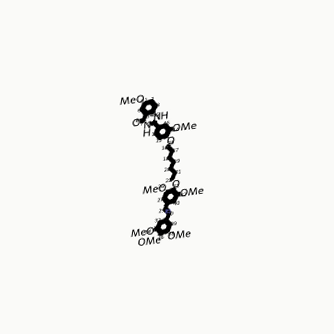 COc1ccc2c(c1)C(=O)NC(c1ccc(OCCCCCCCOc3c(OC)cc(/C=C/c4cc(OC)c(OC)c(OC)c4)cc3OC)c(OC)c1)N2